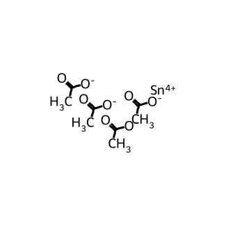 CC(=O)[O-].CC(=O)[O-].CC(=O)[O-].CC(=O)[O-].[Sn+4]